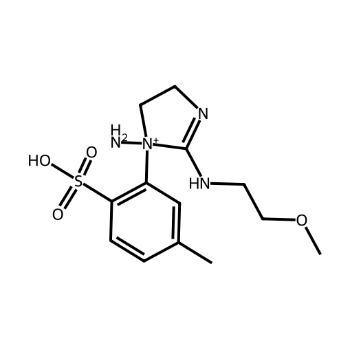 COCCNC1=NCC[N+]1(N)c1cc(C)ccc1S(=O)(=O)O